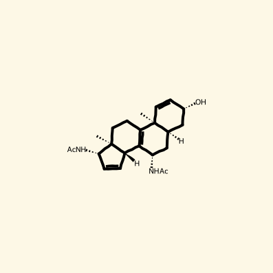 CC(=O)N[C@H]1C[C@@H]2C[C@@H](O)C=C[C@]2(C)C2=C1[C@@H]1C=C[C@H](NC(C)=O)[C@@]1(C)CC2